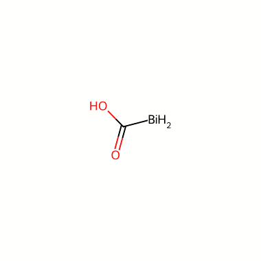 O=[C](O)[BiH2]